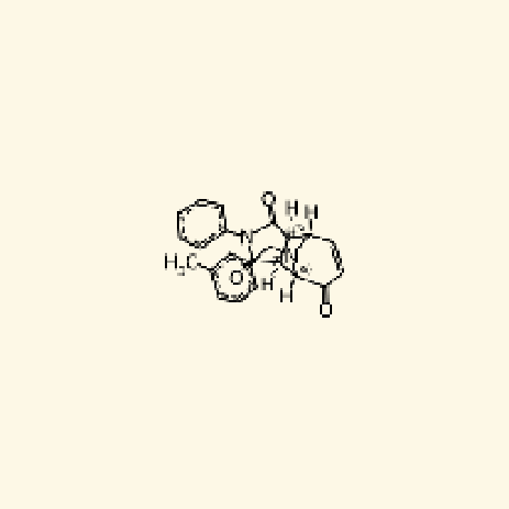 Cc1cccc(CN2[C@@H]3C(=O)C=C[C@H]2[C@@H]2C(=O)N(c4ccccc4)C(=O)[C@@H]23)c1